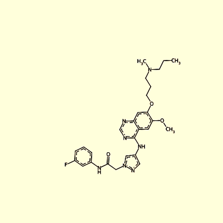 CCCN(C)CCCOc1cc2ncnc(Nc3cnn(CC(=O)Nc4cccc(F)c4)c3)c2cc1OC